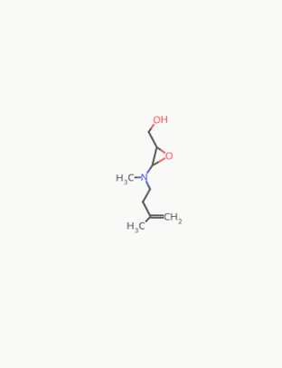 C=C(C)CCN(C)C1OC1CO